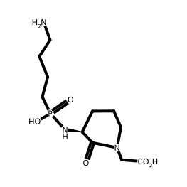 NCCCCP(=O)(O)N[C@H]1CCCN(CC(=O)O)C1=O